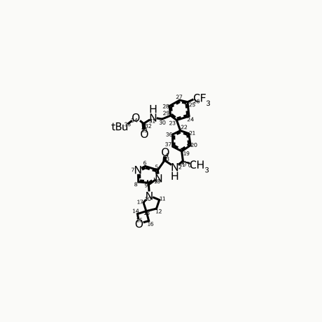 C[C@@H](NC(=O)c1cncc(N2CCC3(COC3)C2)n1)c1ccc(-c2cc(C(F)(F)F)ccc2CNC(=O)OC(C)(C)C)cc1